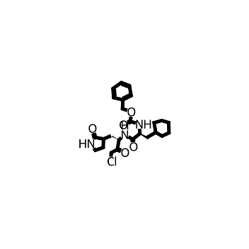 O=C(N[C@@H](CC1CCCCC1)C(=O)N[C@@H](CC1CCNC1=O)C(=O)CCl)OCc1ccccc1